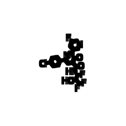 O=C(NC(F)[C@H](O)C(F)F)c1cc(-c2ccc(Cl)cc2)nn(-c2cncc(F)c2)c1=O